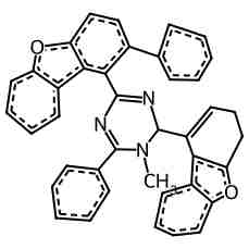 CN1C(c2ccccc2)=NC(c2c(-c3ccccc3)ccc3oc4ccccc4c23)=NC1C1=CCCc2oc3ccccc3c21